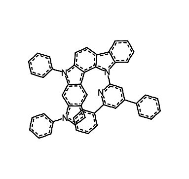 c1ccc(-c2cc(-c3ccccc3)nc(-n3c4ccccc4c4ccc5c(c6cc7ccn(-c8ccccc8)c7cc6n5-c5ccccc5)c43)c2)cc1